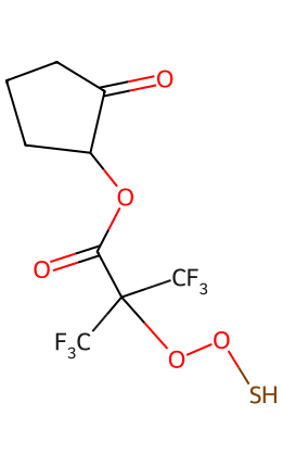 O=C1CCCC1OC(=O)C(OOS)(C(F)(F)F)C(F)(F)F